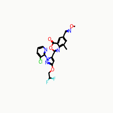 CON=Cc1cc(C)c2nc(-c3cc(OCC(F)F)nn3-c3ncccc3Cl)oc(=O)c2c1